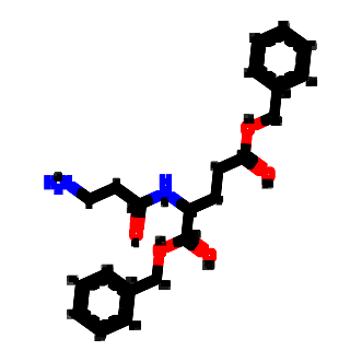 NCCC(=O)NC(CCC(=O)OCc1ccccc1)C(=O)OCc1ccccc1